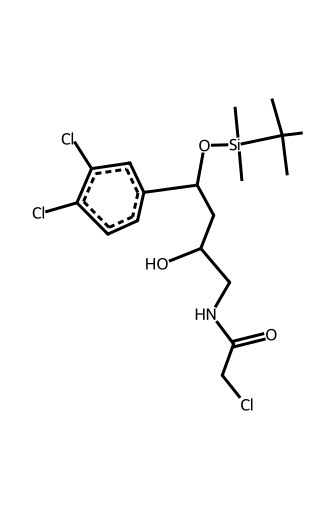 CC(C)(C)[Si](C)(C)OC(CC(O)CNC(=O)CCl)c1ccc(Cl)c(Cl)c1